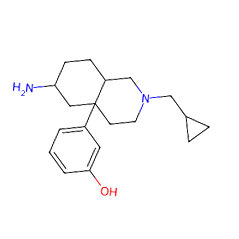 NC1CCC2CN(CC3CC3)CCC2(c2cccc(O)c2)C1